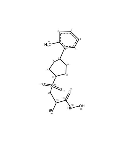 Cc1ccccc1C1CCN(S(=O)(=O)CC(C(=O)NO)C(C)C)CC1